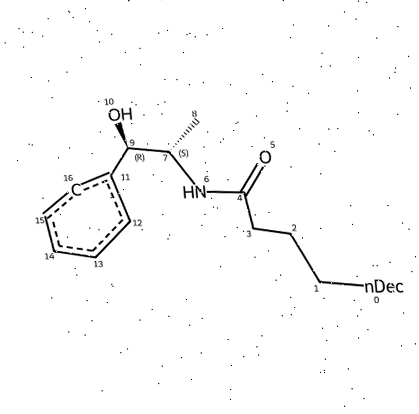 CCCCCCCCCCCCCC(=O)N[C@@H](C)[C@H](O)c1ccccc1